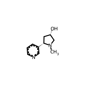 CN1C[C@@H](O)C[C@H]1c1cccnc1